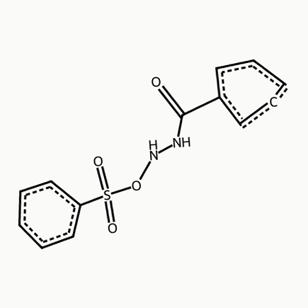 O=C(NNOS(=O)(=O)c1ccccc1)c1ccccc1